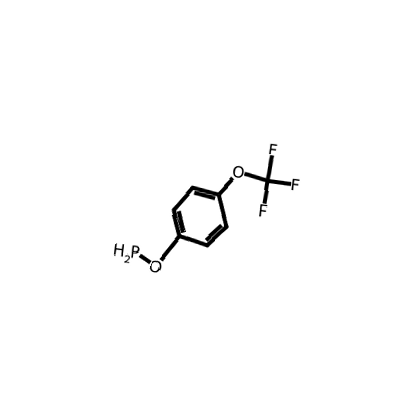 FC(F)(F)Oc1ccc(OP)cc1